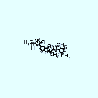 CNc1ncc(Cl)c(-c2ccc3c(c2)C(=O)N(C(C)C(=O)NC(CO)c2cc(C)cc(F)c2)C3)n1